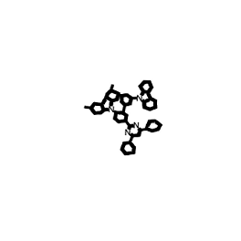 Cc1ccc2c(c1)c1cc(C)ccc1n2-c1ccc(-c2nc(-c3ccccc3)cc(-c3ccccc3)n2)cc1-c1cccc(-n2c3ccccc3c3ccccc32)c1